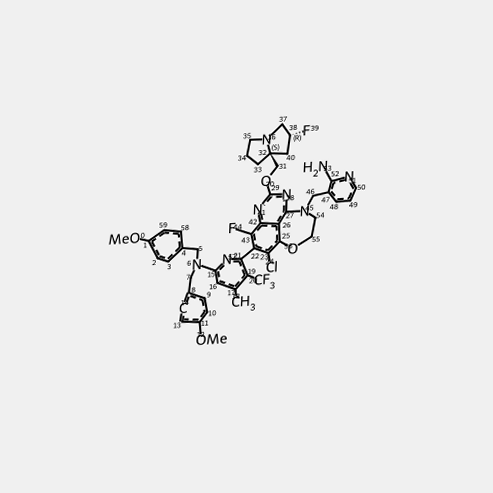 COc1ccc(CN(Cc2ccc(OC)cc2)c2cc(C)c(C(F)(F)F)c(-c3c(Cl)c4c5c(nc(OC[C@@]67CCCN6C[C@H](F)C7)nc5c3F)N(Cc3cccnc3N)CCO4)n2)cc1